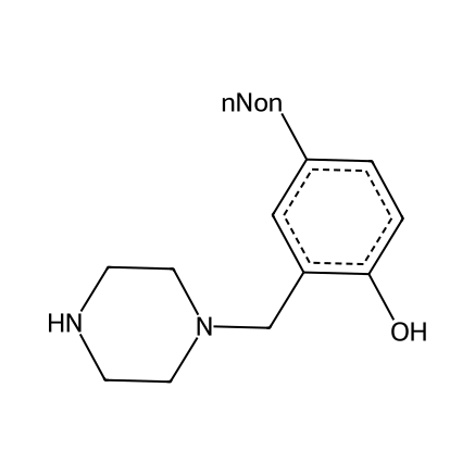 CCCCCCCCCc1ccc(O)c(CN2CCNCC2)c1